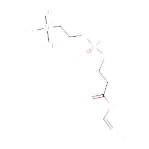 C=COC(=O)CCOP(=O)([O-])OCC[N+](C)(C)C